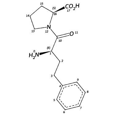 N[C@H](CCc1ccccc1)C(=O)N1CCC[C@H]1C(=O)O